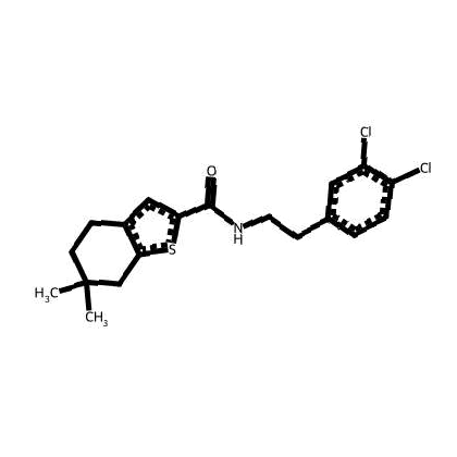 CC1(C)CCc2cc(C(=O)NCCc3ccc(Cl)c(Cl)c3)sc2C1